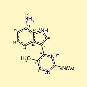 CNc1ncc(C)c(-c2c[nH]c3c(N)cccc23)n1